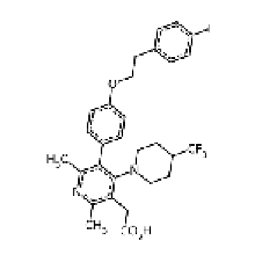 Cc1nc(C)c(-c2ccc(OCCc3ccc(F)cc3)cc2)c(N2CCC(C(F)(F)F)CC2)c1CC(=O)O